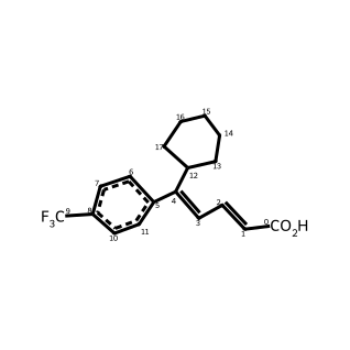 O=C(O)C=CC=C(c1ccc(C(F)(F)F)cc1)C1CCCCC1